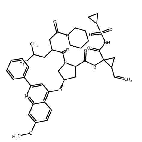 C=CC1CC1(NC(=O)C1C[C@@H](Oc2cc(-c3ccccc3)nc3cc(OC)ccc23)CN1C(=O)C(CC(=O)N1CCCCC1)CC(C)C)C(=O)NS(=O)(=O)C1CC1